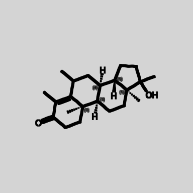 CC1=C2C(C)C[C@@H]3[C@@H](CC[C@@]4(C)[C@H]3CCC4(C)O)[C@@]2(C)CCC1=O